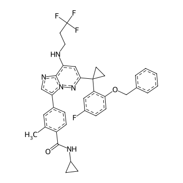 Cc1cc(-c2cnc3c(NCCC(F)(F)F)cc(C4(c5cc(F)ccc5OCc5ccccc5)CC4)nn23)ccc1C(=O)NC1CC1